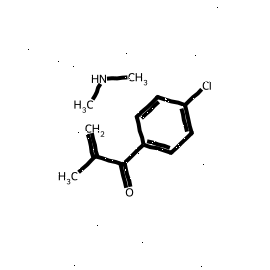 C=C(C)C(=O)c1ccc(Cl)cc1.CNC